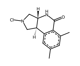 Cc1cc(C)c2c(c1)[C@H]1CN(Cl)C[C@@H]1NC2=O